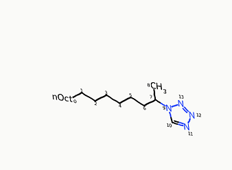 CCCCCCCCCCCCCCC(C)n1cnnn1